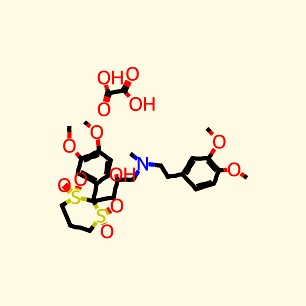 COc1ccc(CCN(C)CC(O)CC2(c3ccc(OC)c(OC)c3)S(=O)(=O)CCCS2(=O)=O)cc1OC.O=C(O)C(=O)O